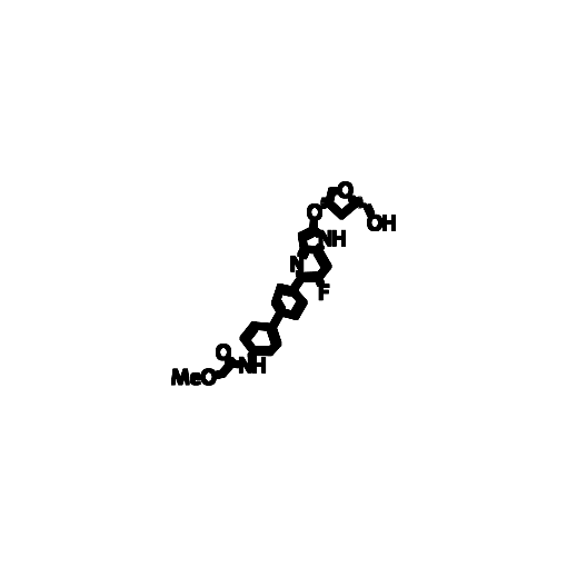 COCC(=O)Nc1ccc(-c2ccc(-c3nc4cc(O[C@@H]5CO[C@H](CO)C5)[nH]c4cc3F)cc2)cc1